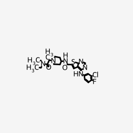 CCN(CC)C(=O)C(C)N1CCC(NC(=O)c2cc3c(Nc4ccc(F)c(Cl)c4)ncnc3s2)CC1